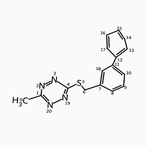 Cc1nnc(SCc2cccc(-c3ccccc3)c2)nn1